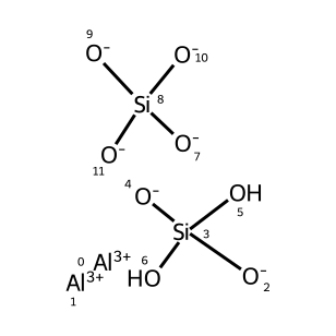 [Al+3].[Al+3].[O-][Si]([O-])(O)O.[O-][Si]([O-])([O-])[O-]